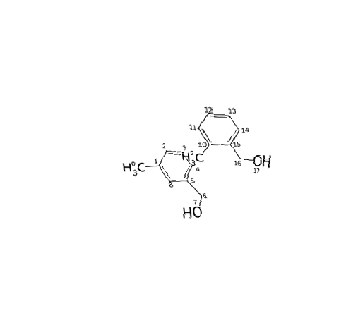 Cc1cccc(CO)c1.Cc1ccccc1CO